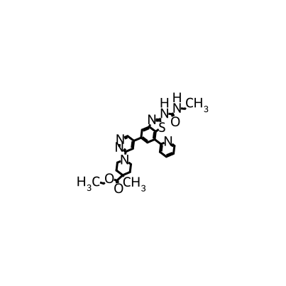 CCNC(=O)Nc1nc2cc(-c3cnnc(N4CCC(C)(C(=O)OCC)CC4)c3)cc(-c3ccccn3)c2s1